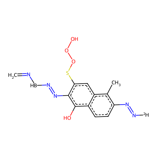 [2H]/N=N/c1ccc2c(O)c(N=NBN=C)c(SOOO)cc2c1C